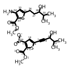 COC(=O)c1sc(C#CC(O)C(C)C)cc1[N+](=O)[O-].COC(=O)c1sc(CCC(O)C(C)C)cc1N